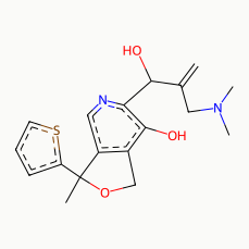 C=C(CN(C)C)C(O)c1ncc2c(c1O)COC2(C)c1cccs1